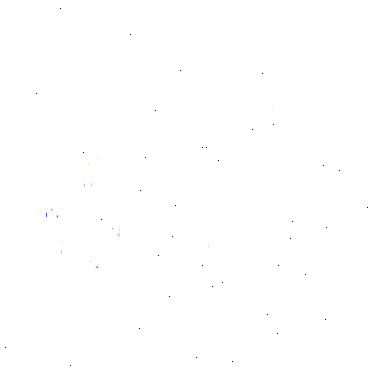 S=c1[nH]cnn1-c1cccc(Cc2ccccc2)c1